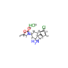 C[C@@H]1CN(C2CCC(CN)(c3cccc(Cl)c3)CC2)C(=O)O1.Cl